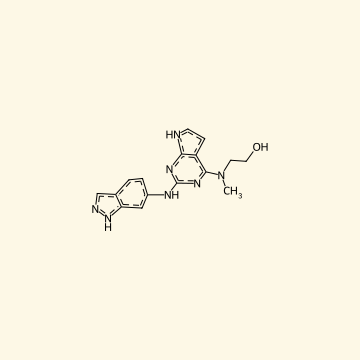 CN(CCO)c1nc(Nc2ccc3cn[nH]c3c2)nc2[nH]ccc12